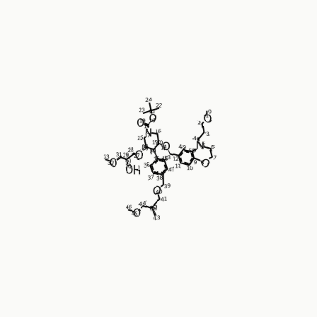 COCCCN1CCOc2ccc(CO[C@H]3CN(C(=O)OC(C)(C)C)C[C@@H](OC[C@@H](O)COC)[C@@H]3c3ccc(COC[C@@H](C)COC)cc3)cc21